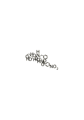 O=C(N[C@@H](Cc1ccccc1)[C@@H](O)CNS(=O)(=O)c1ccc([N+](=O)[O-])cc1)OC1CO[C@H]2OCC[C@@H]12